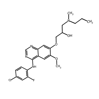 CCCN(C)CC(O)COc1cc2ncnc(Nc3ccc(Cl)cc3F)c2cc1OC